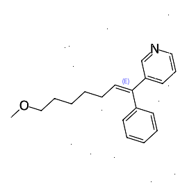 COCCCCC/C=C(\c1ccccc1)c1cccnc1